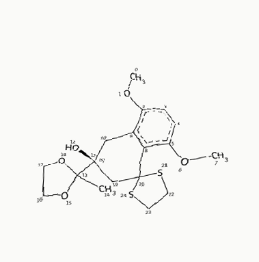 COc1ccc(OC)c2c1C[C@@](O)(C1(C)OCCO1)CC21SCCS1